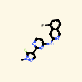 CC(C)c1cccc2cnc(Nc3ccnc(-c4cnn(C)c4F)n3)cc12